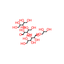 O=CC(O)C(O)C(O)C(O)CO.O=CC(O)C(O)C(O)CO.OCC(O)C(O)C(O)CO.OCC(O)CO